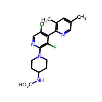 Cc1cnc(-c2c(Cl)cnc(N3CCC(NC(=O)O)CC3)c2F)c(C)c1